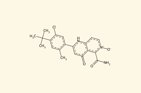 Cc1cc(C(C)(C)C)c(Cl)cc1-c1cc(=O)c2c(C(N)=O)[n+]([O-])ccc2[nH]1